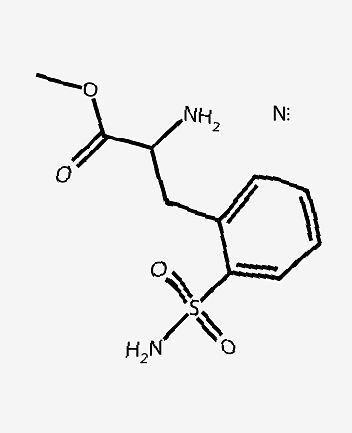 COC(=O)C(N)Cc1ccccc1S(N)(=O)=O.[N]